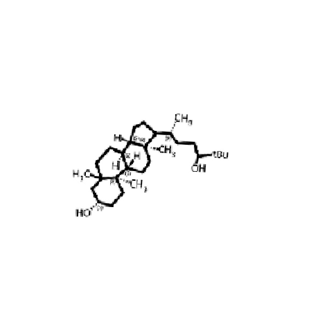 C[C@H](CCC(O)C(C)(C)C)C1CC[C@H]2[C@@H]3CCC4(C)C[C@@H](O)CC[C@]4(C)[C@H]3CC[C@]12C